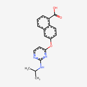 CC(C)Nc1nccc(Oc2ccc3c(C(=O)O)cccc3c2)n1